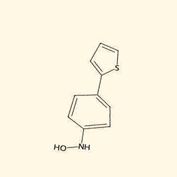 ONc1ccc(-c2cccs2)cc1